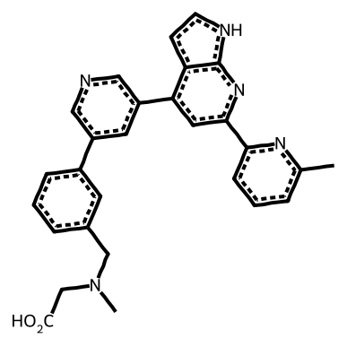 Cc1cccc(-c2cc(-c3cncc(-c4cccc(CN(C)CC(=O)O)c4)c3)c3cc[nH]c3n2)n1